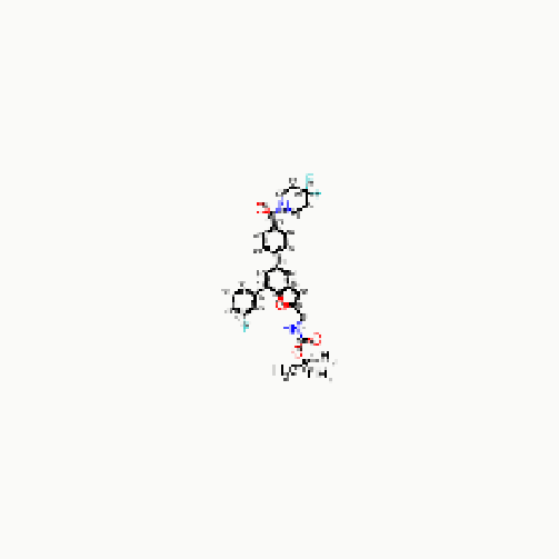 CC(C)(C)OC(=O)NCc1cc2cc(-c3ccc(C(=O)N4CCC(F)(F)CC4)cc3)cc(-c3cccc(F)c3)c2o1